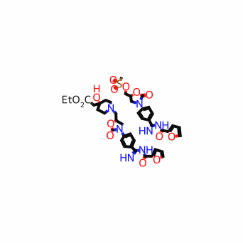 CCOC(=O)CC1(O)CCN(CC2CN(c3ccc(C(=N)NC(=O)c4ccco4)cc3)C(=O)O2)CC1.CS(=O)(=O)OCC1CN(c2ccc(C(=N)NC(=O)c3ccco3)cc2)C(=O)O1